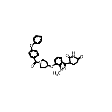 Cn1nc(C2CCC(=O)NC2=O)c2cccc(OC3CCN(C(=O)c4ccc(Oc5ccccc5)cc4)CC3)c21